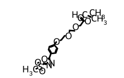 CC(C)(C)OC(=O)COCCOCCOc1ccc(-c2nnc(S(C)(=O)=O)o2)cc1